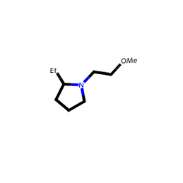 CCC1CCCN1CCOC